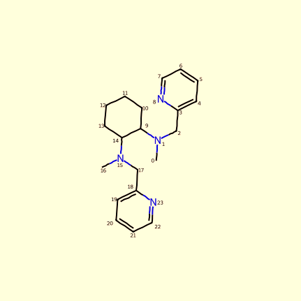 CN(Cc1ccccn1)C1CCCCC1N(C)Cc1ccccn1